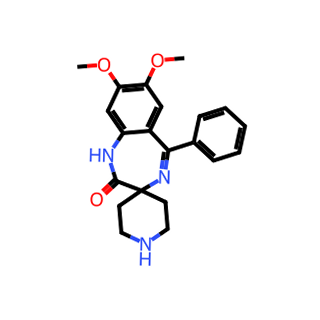 COc1cc2c(cc1OC)C(c1ccccc1)=NC1(CCNCC1)C(=O)N2